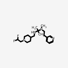 CN(CCc1cccnc1)C(C)(C)NCC1CCN(CC(F)F)CC1